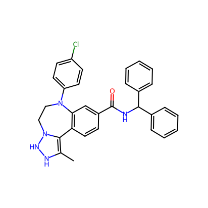 CC1=C2c3ccc(C(=O)NC(c4ccccc4)c4ccccc4)cc3N(c3ccc(Cl)cc3)CCN2NN1